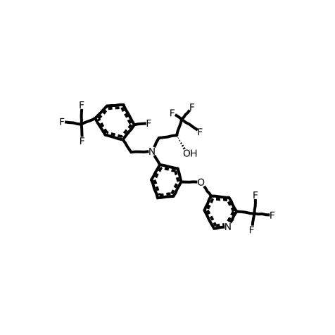 O[C@H](CN(Cc1cc(C(F)(F)F)ccc1F)c1cccc(Oc2ccnc(C(F)(F)F)c2)c1)C(F)(F)F